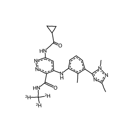 [2H]C([2H])([2H])NC(=O)c1nnc(NC(=O)C2CC2)cc1Nc1cccc(-c2nc(C)nn2C)c1C